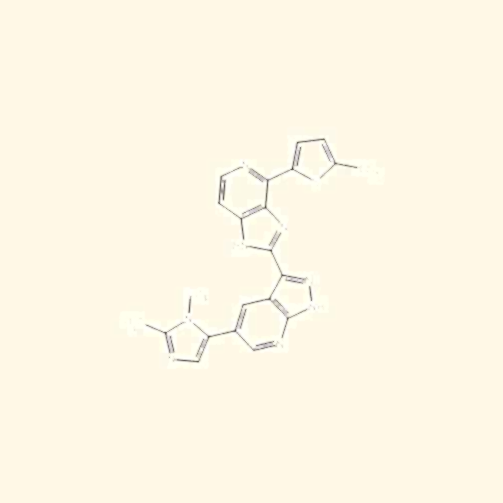 Cc1ccc(-c2nccc3[nH]c(-c4n[nH]c5ncc(-c6cnc(C)n6C)cc45)nc23)s1